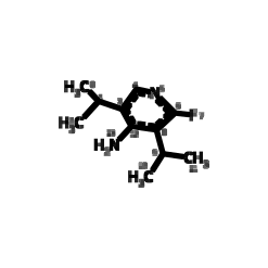 CC(C)c1cnc(F)c(C(C)C)c1N